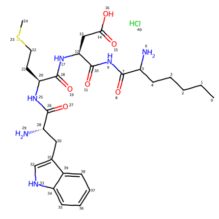 CCCCCC(N)C(=O)NC(=O)[C@H](CC(=O)O)NC(=O)[C@H](CCSC)NC(=O)[C@@H](N)Cc1c[nH]c2ccccc12.Cl